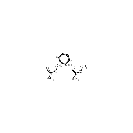 C.COC(N)=S.COC(N)=S.c1ccccc1